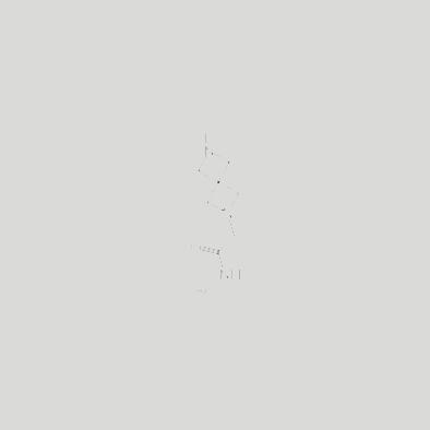 CC(C)(C)NC(=O)CN1CC2(CNC2)C1